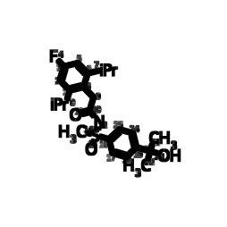 CC(C)c1cc(F)cc(C(C)C)c1CC(=O)N=S(C)(=O)c1ccc(C(C)(C)O)cc1